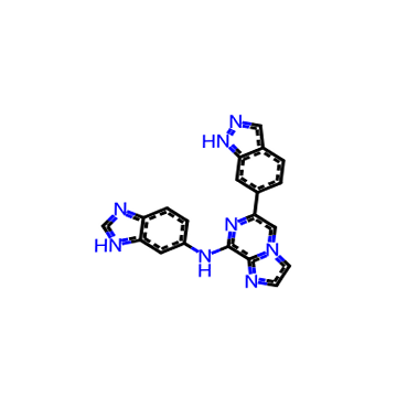 c1cn2cc(-c3ccc4cn[nH]c4c3)nc(Nc3ccc4nc[nH]c4c3)c2n1